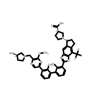 COc1nc(-c2cccc(-c3cccc(-c4nc5cc6c(c(C(F)(F)F)c5o4)CC[C@H]6N4CC[C@@H](C(=O)O)C4)c3Cl)c2C)cnc1CN1CC[C@@H](O)C1